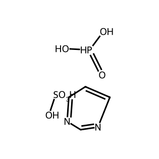 O=S(=O)(O)O.O=[PH](O)O.c1cncnc1